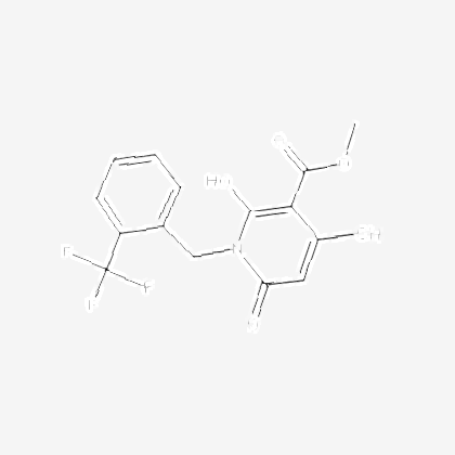 COC(=O)c1c(O)cc(=O)n(Cc2ccccc2C(F)(F)F)c1O